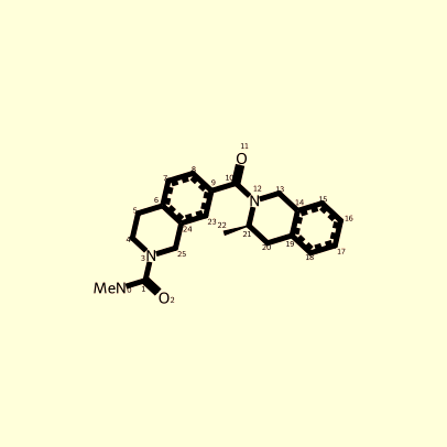 CNC(=O)N1CCc2ccc(C(=O)N3Cc4ccccc4C[C@H]3C)cc2C1